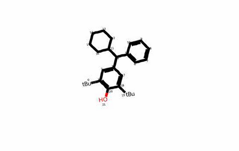 CC(C)(C)c1cc(C(c2ccccc2)C2CCCCC2)cc(C(C)(C)C)c1O